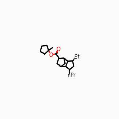 CCCC1CC(CC)C2C3CC(CC3C(=O)OC3(C)CCCC3)C12